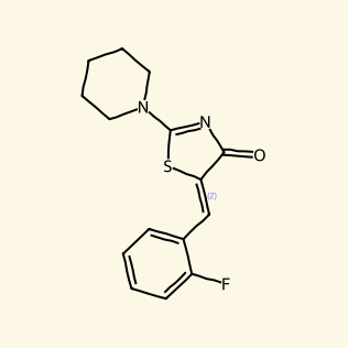 O=C1N=C(N2CCCCC2)S/C1=C\c1ccccc1F